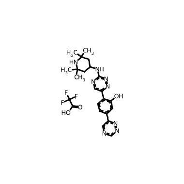 CC1(C)CC(Nc2ncc(-c3ccc(-c4cncnn4)cc3O)nn2)CC(C)(C)N1.O=C(O)C(F)(F)F